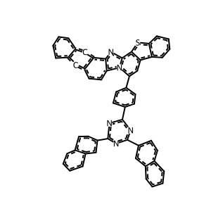 c1ccc2cc(-c3nc(-c4ccc(-c5cc6c7ccccc7sc6c6nc7c8cc9ccccc9cc8ccc7n56)cc4)nc(-c4ccc5ccccc5c4)n3)ccc2c1